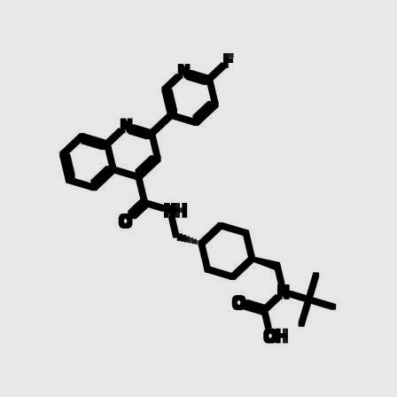 CC(C)(C)N(C[C@H]1CC[C@H](CNC(=O)c2cc(-c3ccc(F)nc3)nc3ccccc23)CC1)C(=O)O